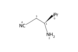 CC(C)[C@@H](N)CC#N